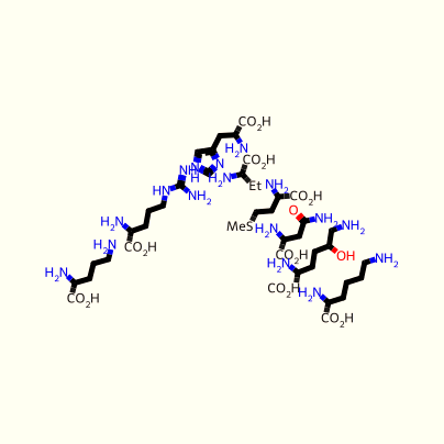 CCC(N)C(=O)O.CSCCC(N)C(=O)O.N=C(N)NCCCC(N)C(=O)O.NC(=O)CC(N)C(=O)O.NC(Cc1c[nH]cn1)C(=O)O.NCC(O)CCC(N)C(=O)O.NCCCC(N)C(=O)O.NCCCCC(N)C(=O)O